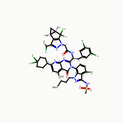 COCCCn1nc(NS(C)(=O)=O)c2c(Cl)ccc(-n3c([C@H](Cc4cc(F)cc(F)c4)NC(=O)Cn4nc(C(F)F)c5c4C(F)(F)[C@@H]4C[C@H]54)nc4nc(C5CCC(F)(F)CC5)cc(C=O)c4c3=O)c21